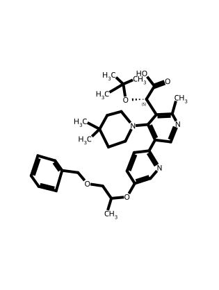 Cc1ncc(-c2ccc(OC(C)COCc3ccccc3)cn2)c(N2CCC(C)(C)CC2)c1[C@H](OC(C)(C)C)C(=O)O